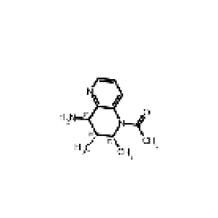 CC(=O)N1c2cccnc2[C@H](N)[C@@H](C)[C@@H]1C